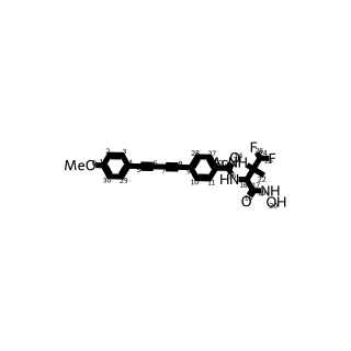 COc1ccc(C#CC#Cc2ccc(C(=O)NC(C(=O)NO)C(C)(NC(C)=O)C(F)F)cc2)cc1